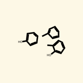 Cc1ccccc1.Cc1ccccc1O.Oc1ccccc1